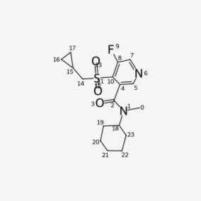 CN(C(=O)c1cncc(F)c1S(=O)(=O)CC1CC1)C1CCCCC1